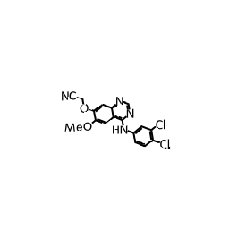 COc1cc2c(Nc3ccc(Cl)c(Cl)c3)ncnc2cc1OCC#N